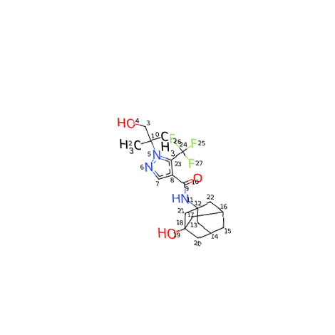 CC(C)(CO)n1ncc(C(=O)NC23CC4CC(CC(O)(C4)C2)C3)c1C(F)(F)F